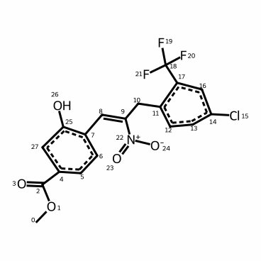 COC(=O)c1ccc(/C=C(/Cc2ccc(Cl)cc2C(F)(F)F)[N+](=O)[O-])c(O)c1